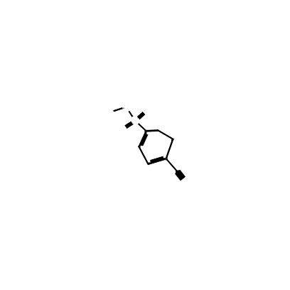 N#CC1=CC=C(S(=O)(=O)NO)CC1